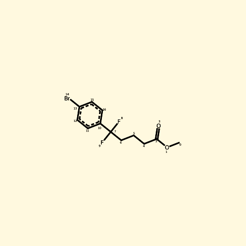 COC(=O)CCCC(F)(F)c1ccc(Br)cc1